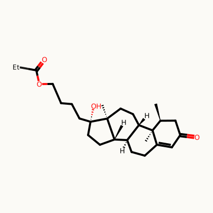 CCC(=O)OCCCC[C@]1(O)CC[C@H]2[C@@H]3CCC4=CC(=O)C[C@H](C)[C@]4(C)[C@H]3CC[C@@]21C